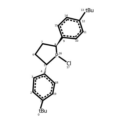 CC(C)(C)c1ccc([C@@H]2CC[C@@H](c3ccc(C(C)(C)C)cc3)P2Cl)cc1